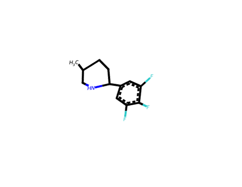 CC1CCC(c2cc(F)c(F)c(F)c2)NC1